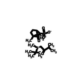 CC(C)C(=O)C[S+](C)C(C)(C)C.CC12CCC(C(S(=O)(=O)[O-])C1=O)C2(C)C